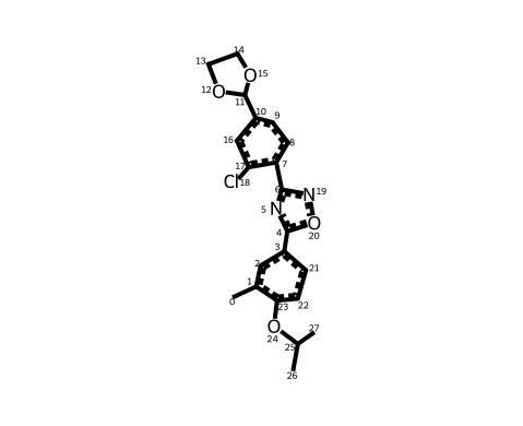 Cc1cc(-c2nc(-c3ccc(C4OCCO4)cc3Cl)no2)ccc1OC(C)C